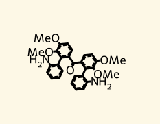 COc1ccc(C(=O)c2ccc(OC)c(OC)c2-c2ccccc2N)c(-c2ccccc2N)c1OC